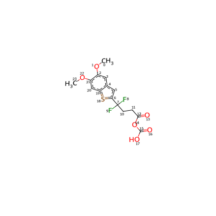 COc1cc2cc(C(F)(F)CCC(=O)OC(=O)O)sc2cc1OC